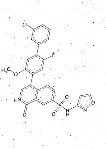 COc1cc(-c2cccc(Cl)c2)c(F)cc1-c1c[nH]c(=O)c2cc(S(=O)(=O)Nc3ccon3)ccc12